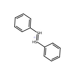 c1ccc(/[SiH]=[SiH]/c2ccccc2)cc1